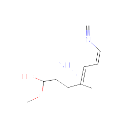 C=N/C=C\C=C(/C)C[C@@H](N)C(O)OC